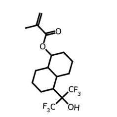 C=C(C)C(=O)OC1CCCC2C1CCCC2C(O)(C(F)(F)F)C(F)(F)F